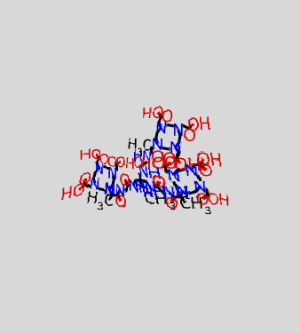 CNCC(CNC(=O)CNC(=O)C(C)N1CCN(CC(=O)O)CCN(CC(=O)O)CCN(CC(=O)O)CC1)(CNC(=O)CNC(=O)C(C)N1CCN(CC(=O)O)CCN(CC(=O)O)CCN(CC(=O)O)CC1)CNC(=O)CNC(=O)C(C)N1CCN(CC(=O)O)CCN(CC(=O)O)CCN(CC(=O)O)CC1